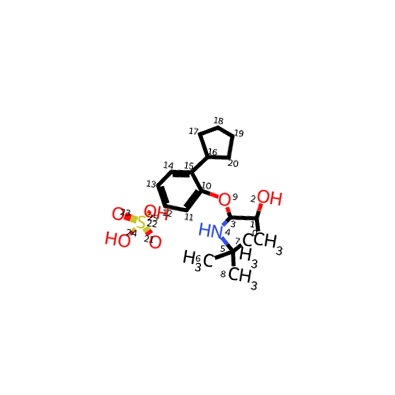 CC(O)C(NC(C)(C)C)Oc1ccccc1C1CCCC1.O=S(=O)(O)O